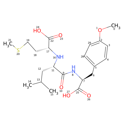 COc1ccc(C[C@H](NC(=O)[C@H](CC(C)C)N[C@H](CCSC)C(=O)O)C(=O)O)cc1